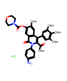 COC(=O)c1c(-c2cc(OC)c(OC)c(OC)c2)c2cc(OC)c(OC(=O)N3CCOCC3)cc2c(=O)n1-c1ccc(N)cc1.Cl